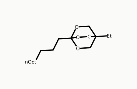 CCCCCCCCCCCC12OCC(CC)(CO1)CO2